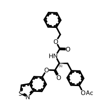 CC(=O)Oc1ccc(C[C@H](NC(=O)OCc2ccccc2)C(=O)Oc2ccc3nscc3c2)cc1